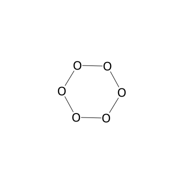 O1OOOOO1